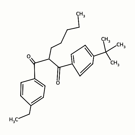 CCCCCC(C(=O)c1ccc(CC)cc1)C(=O)c1ccc(C(C)(C)C)cc1